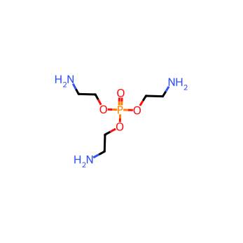 NCCOP(=O)(OCCN)OCCN